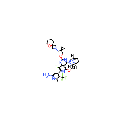 Cc1nc(N)cc(-c2nc3c4c(nc(OCC5(CN6CC7(CCCCO7)C6)CC5)nc4c2F)N2C[C@H]4CC[C@H](N4)[C@H]2[C@H](C)O3)c1C(F)(F)F